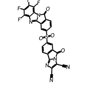 N#Cc1nc2n(c1C#N)C(=O)c1cc(S(=O)(=O)c3ccc4c(c3)-c3nc5c(F)c(F)c(F)c(F)c5n3C4=O)ccc1-2